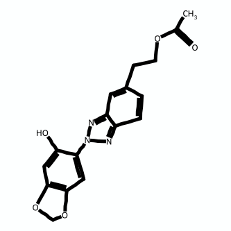 CC(=O)OCCc1ccc2nn(-c3cc4c(cc3O)OCO4)nc2c1